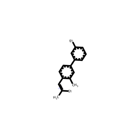 CC/C(C)=C\c1ccc(-c2cccc(CC)c2)cc1C